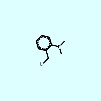 [Li][CH2]c1ccccc1P(C)C